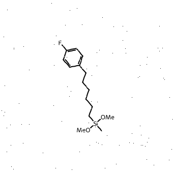 CO[Si](C)(CCCCCCc1ccc(F)cc1)OC